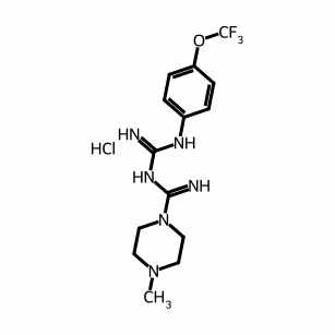 CN1CCN(C(=N)NC(=N)Nc2ccc(OC(F)(F)F)cc2)CC1.Cl